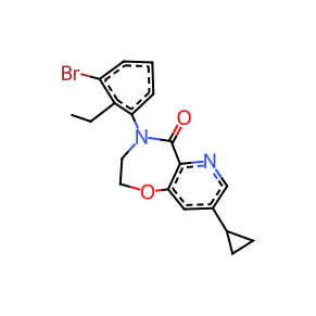 CCc1c(Br)cccc1N1CCOc2cc(C3CC3)cnc2C1=O